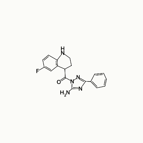 Nc1nc(-c2ccccc2)nn1C(=O)C1CCNc2ccc(F)cc21